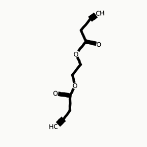 C#CCC(=O)OCCOC(=O)CC#C